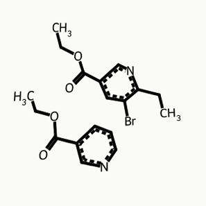 CCOC(=O)c1cccnc1.CCOC(=O)c1cnc(CC)c(Br)c1